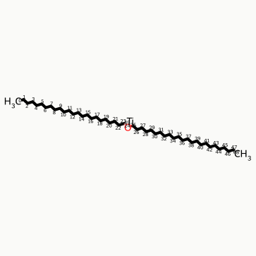 CCCCCCCCCCCCCCCCCCCCCCCCOCCCCCCCCCCCCCCCCCCCCCCCC.[Ti]